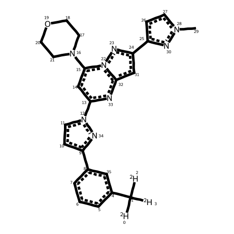 [2H]C([2H])([2H])c1cccc(-c2ccn(-c3cc(N4CCOCC4)n4nc(-c5ccn(C)n5)cc4n3)n2)c1